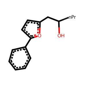 CCCC(O)Cc1ccc(-c2ccccc2)o1